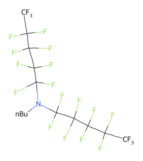 CCCCN(C(F)(F)C(F)(F)C(F)(F)C(F)(F)C(F)(F)F)C(F)(F)C(F)(F)C(F)(F)C(F)(F)C(F)(F)F